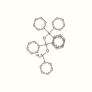 c1ccc([SiH2]O[Si](O[Si](c2ccccc2)(c2ccccc2)c2ccccc2)(c2ccccc2)c2ccccc2)cc1